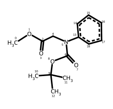 COC(=O)CN(C(=O)OC(C)(C)C)c1ccccc1